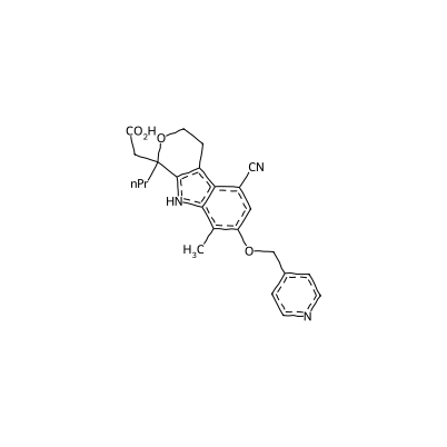 CCCC1(CC(=O)O)OCCc2c1[nH]c1c(C)c(OCc3ccncc3)cc(C#N)c21